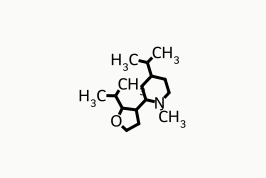 CC(C)C1CCN(C)C(C2CCOC2C(C)C)C1